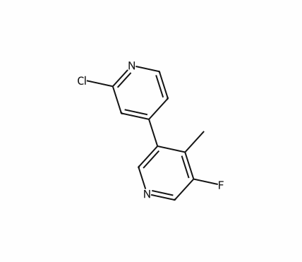 Cc1c(F)cncc1-c1ccnc(Cl)c1